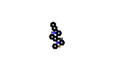 B1c2cccc3c2N(c2ccccc2S3)c2cc3ccccc3c(-c3cccc4c3[nH]c3cc5ccccc5cc34)c21